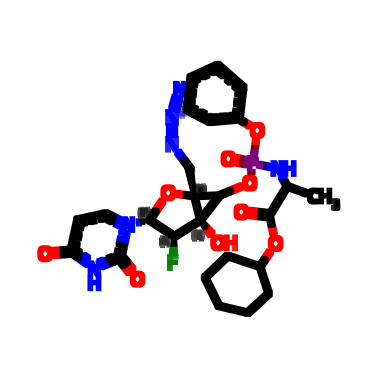 CC(NP(=O)(Oc1ccccc1)OC1[C@@]2(CN=[N+]=[N-])O[C@@H](n3ccc(=O)[nH]c3=O)[C@H](F)[C@@]12O)C(=O)OC1CCCCC1